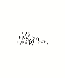 CCOC(=O)CC(C)C(C)(C)CC